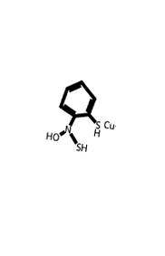 ON(S)c1ccccc1S.[Cu]